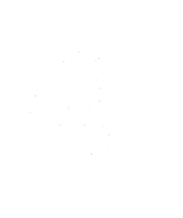 CCC[C@@H](O[Si](c1ccccc1)(c1ccccc1)C(C)(C)C)C(=O)O